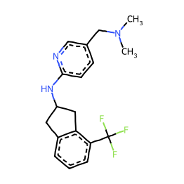 CN(C)Cc1ccc(NC2Cc3cccc(C(F)(F)F)c3C2)nc1